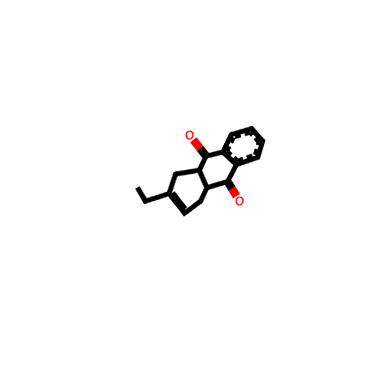 CCC1=CCC2C(=O)c3ccccc3C(=O)C2C1